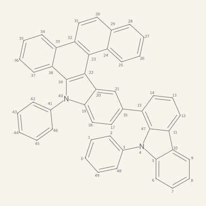 c1ccc(-n2c3ccccc3c3cccc(-c4ccc5c(c4)c4c6c7ccccc7ccc6c6ccccc6c4n5-c4ccccc4)c32)cc1